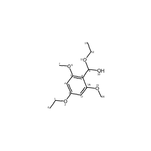 CCOc1cc(OC)c(C(O)OCC)c(OC)c1